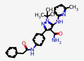 Cc1cccc(Nc2c(C(N)=O)c(-c3ccc(NC(=O)Cc4ccccc4)cc3)nn2C(C)(C)C)n1